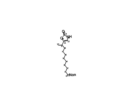 CCCCCCCCCCCCCCCCCC(C)c1c[nH]c(=O)o1